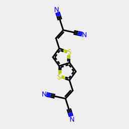 N#CC(C#N)=Cc1cc2sc(C=C(C#N)C#N)cc2s1